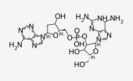 NC1=Nc2c(ncn2[C@@H]2O[C@H](CO)C(O)C2OP(=O)(O)OC[C@H]2O[C@@H](n3cnc4c(N)ncnc43)CC2O)C(N)N1